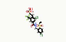 CCS(=O)(=O)c1ccc(Cl)cc1CNC(=O)c1cc(Cl)c(CCS(=O)(=O)O)c(C(F)(F)F)c1